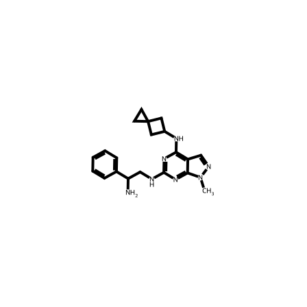 Cn1ncc2c(NC3CC4(CC4)C3)nc(NCC(N)c3ccccc3)nc21